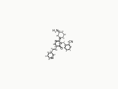 N#Cc1ccccc1Cn1c(N2CCCC(N)C2)ncc(/C=C/c2cccnc2)c1=O